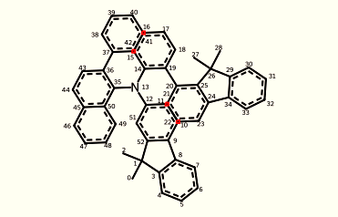 CC1(C)c2ccccc2-c2ccc(N(c3ccccc3-c3cccc4c3C(C)(C)c3ccccc3-4)c3c(-c4ccccc4)ccc4ccccc34)cc21